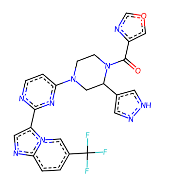 O=C(c1cocn1)N1CCN(c2ccnc(-c3cnc4ccc(C(F)(F)F)cn34)n2)CC1c1cn[nH]c1